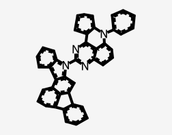 c1ccc(N2c3ccccc3-c3nc(-n4c5ccccc5c5c6cccc7c6c(cc54)-c4ccccc4-7)nc4cccc2c34)cc1